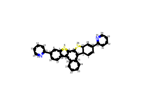 C1=CC2c3c(c4sc5cc(-c6ccccn6)ccc5c4c4ccccc34)SC2C=C1c1ccccn1